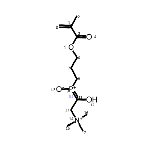 C=C(C)C(=O)OCCC/[P+]([O-])=C(\O)C[N+](C)(C)C